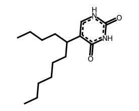 CCCCCCC(CCCC)c1c[nH]c(=O)[nH]c1=O